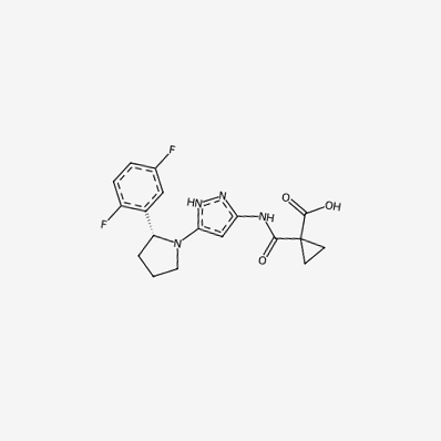 O=C(O)C1(C(=O)Nc2cc(N3CCC[C@@H]3c3cc(F)ccc3F)[nH]n2)CC1